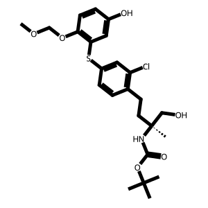 COCOc1ccc(O)cc1Sc1ccc(CC[C@@](C)(CO)NC(=O)OC(C)(C)C)c(Cl)c1